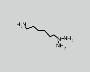 NCCCCCCN(N)N